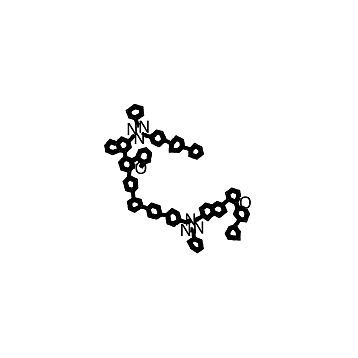 c1ccc(-c2ccc(-c3ccc(-c4nc(-c5ccccc5)nc(-c5cc(-c6ccc(-c7ccc(-c8cccc(-c9ccc(-c%10ccc(-c%11nc(-c%12ccccc%12)nc(-c%12ccc%13cc(-c%14cccc%15oc%16ccc(-c%17ccccc%17)cc%16c%14%15)ccc%13c%12)n%11)cc%10)cc9)c8)cc7)c7oc8ccccc8c67)c6ccccc6c5)n4)cc3)cc2)cc1